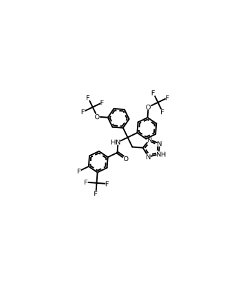 O=C(NC(Cc1nn[nH]n1)(c1cccc(OC(F)(F)F)c1)c1cccc(OC(F)(F)F)c1)c1ccc(F)c(C(F)(F)F)c1